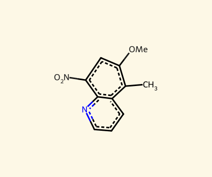 COc1cc([N+](=O)[O-])c2ncccc2c1C